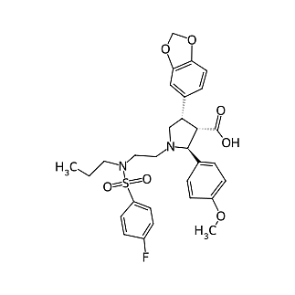 CCCN(CCN1C[C@H](c2ccc3c(c2)OCO3)[C@H](C(=O)O)[C@H]1c1ccc(OC)cc1)S(=O)(=O)c1ccc(F)cc1